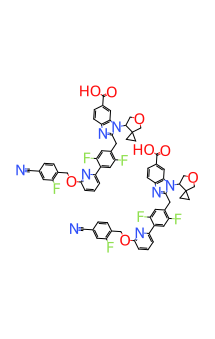 N#Cc1ccc(COc2cccc(-c3cc(F)c(Cc4nc5ccc(C(=O)O)cc5n4C4COCC45CC5)cc3F)n2)c(F)c1.N#Cc1ccc(COc2cccc(-c3cc(F)c(Cc4nc5ccc(C(=O)O)cc5n4C4COCC45CC5)cc3F)n2)c(F)c1